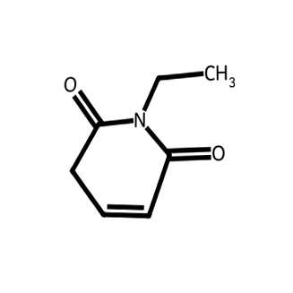 CCN1C(=O)C=CCC1=O